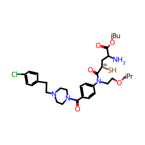 CCC(C)OC(=O)C(N)C[C@@H](S)C(=O)N(CCOC(C)C)c1ccc(C(=O)N2CCN(CCc3ccc(Cl)cc3)CC2)cc1